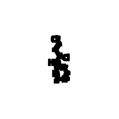 ClC=CC(Cl)Nc1ncncn1